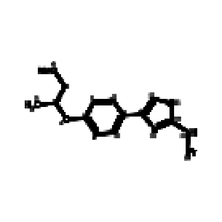 COC[C@H](C)Oc1ccc(-c2csc(NC(C)C)n2)cc1